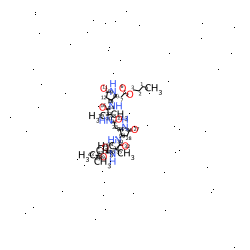 CCCCOC(=O)C[C@H]1NC(=O)C[C@@H]1NC(=O)C(C)(C)NC(=O)C[C@H]1NC(=O)C[C@@H]1NC(=O)C(C)(C)NC(=O)OC(C)(C)C